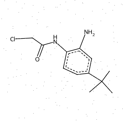 CC(C)(C)c1ccc(NC(=O)CCl)c(N)c1